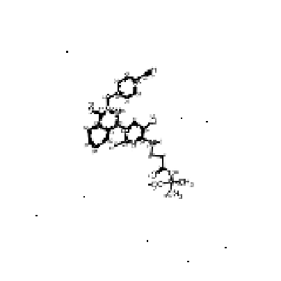 CC(C)(C)OC(=O)CCNc1nc(F)c(-c2nn(Cc3ccc(C#N)cc3)c(=O)c3ccccc23)cc1Cl